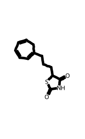 O=C1NC(=O)C(CCCC2=CC=CC=CC2)S1